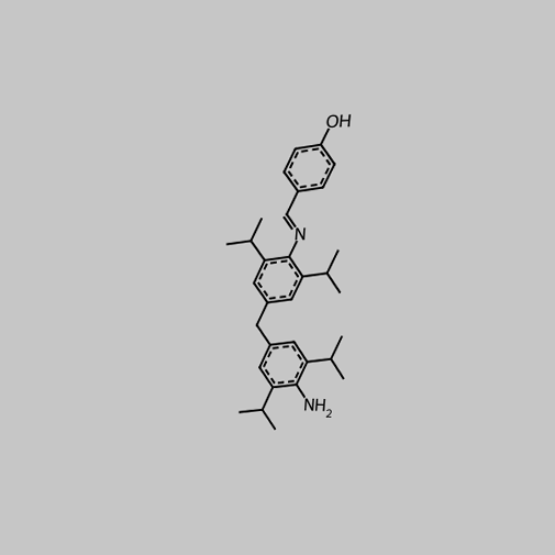 CC(C)c1cc(Cc2cc(C(C)C)c(/N=C/c3ccc(O)cc3)c(C(C)C)c2)cc(C(C)C)c1N